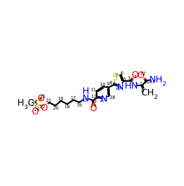 C=C(NC(=O)c1csc(-c2ccc(C(=O)NCCCCCCOS(C)(=O)=O)nc2)n1)C(N)=O